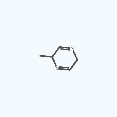 CC1C=NCC=N1